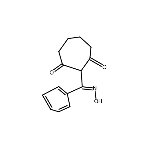 O=C1CCCCC(=O)C1C(=NO)c1ccccc1